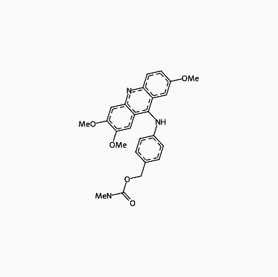 CNC(=O)OCc1ccc(Nc2c3cc(OC)ccc3nc3cc(OC)c(OC)cc23)cc1